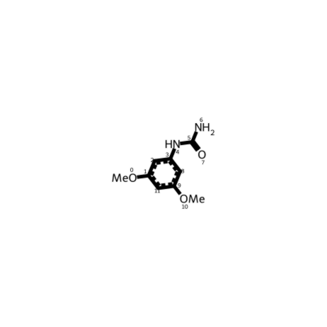 COc1cc(NC(N)=O)cc(OC)c1